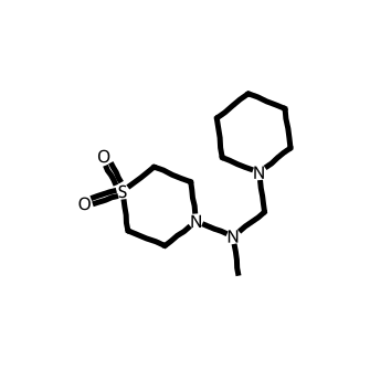 CN(CN1CCCCC1)N1CCS(=O)(=O)CC1